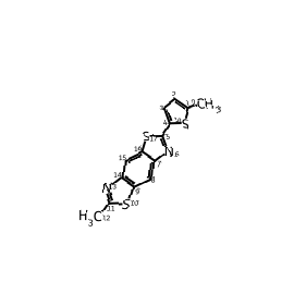 Cc1ccc(-c2nc3cc4sc(C)nc4cc3s2)s1